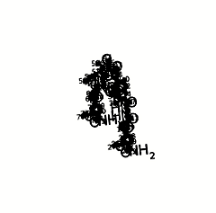 CCCCC[C@@H](C(=O)NCNC(=O)c1ccc(-c2ccc(C(N)=O)c(OCC)c2)o1)[C@@H](CC)N(C=O)OC(=O)CCCC(=O)ON(C=O)[C@H](CC)[C@@H](CCCCC)C(=O)NCNC(=O)c1ccc(-c2ccc(C(N)=O)c(OCC)c2)o1